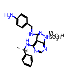 CS(=O)(=O)O.CS(=O)(=O)O.C[C@H](Nc1ncnc2[nH]nc(NCc3ccc(N)cc3)c12)c1ccccc1